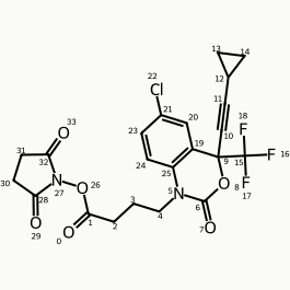 O=C(CCCN1C(=O)OC(C#CC2CC2)(C(F)(F)F)c2cc(Cl)ccc21)ON1C(=O)CCC1=O